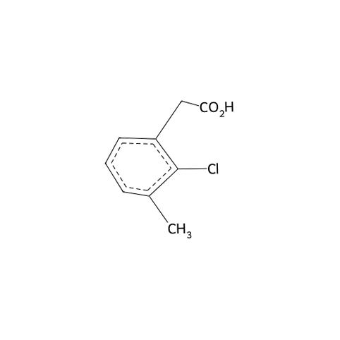 Cc1cccc(CC(=O)O)c1Cl